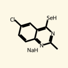 Cc1nc([SeH])c2cc(Cl)ccc2n1.[NaH]